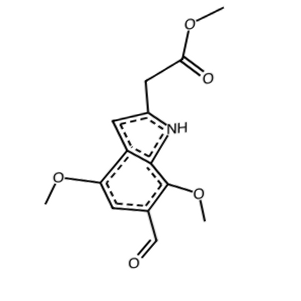 COC(=O)Cc1cc2c(OC)cc(C=O)c(OC)c2[nH]1